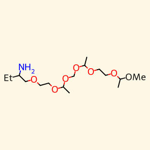 CCC(N)COCCOC(C)OCOC(C)OCCOC(C)OC